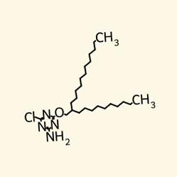 CCCCCCCCCCCCC(CCCCCCCCCC)COc1nc(N)nc(Cl)n1